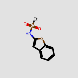 CCS(=O)(=O)Nc1cc2ccccc2s1